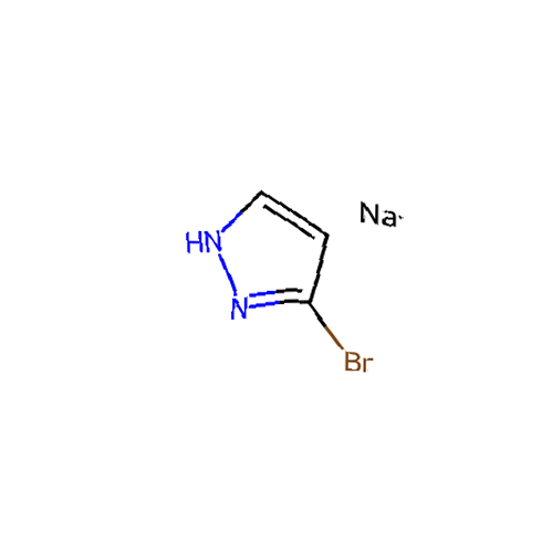 Brc1cc[nH]n1.[Na]